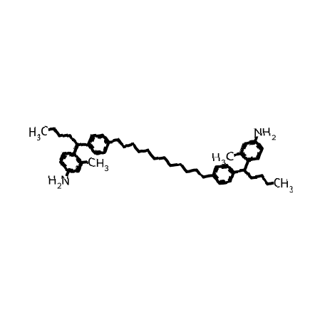 CCCCC(c1ccc(CCCCCCCCCCCCc2ccc(C(CCCC)c3ccc(N)cc3C)cc2)cc1)c1ccc(N)cc1C